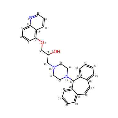 OC(COc1cccc2ncccc12)CN1CCN(C2c3ccccc3C=Cc3ccccc32)CC1